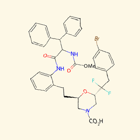 COC(=O)NC(C(=O)Nc1ccccc1CC[C@@H]1CN(C(=O)O)C[C@@H](C(F)(F)Cc2ccc(Br)cc2)O1)C(c1ccccc1)c1ccccc1